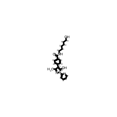 Cc1nn(-c2ccccn2)c(O)c1-c1ccc(C(=O)NCCCCCCO)cc1